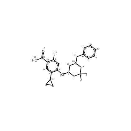 CC1(C)C[C@@H](Oc2cc(F)c(C(=O)O)cc2C2CC2)CN(Cc2ccccc2)C1